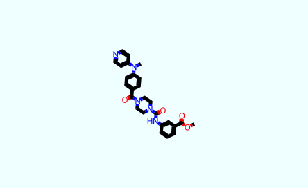 COC(=O)c1cccc(NC(=O)N2CCN(C(=O)c3ccc(N(C)c4ccncc4)cc3)CC2)c1